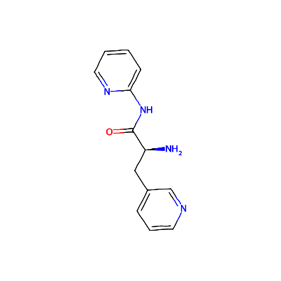 N[C@@H](Cc1cccnc1)C(=O)Nc1ccccn1